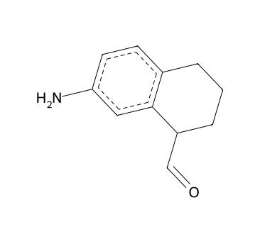 Nc1ccc2c(c1)C(C=O)CCC2